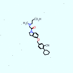 CN(CCC(=O)O)CC(=O)N1CCc2cc(OCc3ccc(C4CCCCC4)c(C#N)c3)ccc21